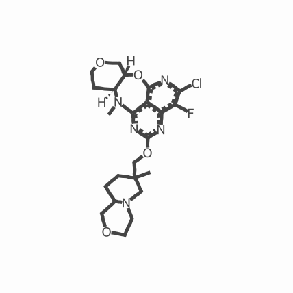 CN1c2nc(OCC3(C)CCC4COCCN4C3)nc3c(F)c(Cl)nc(c23)O[C@H]2COCC[C@@H]21